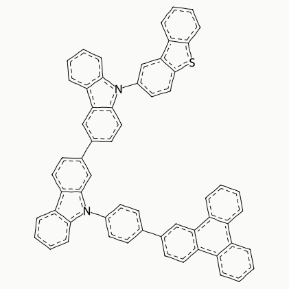 c1ccc2c(c1)sc1ccc(-n3c4ccccc4c4cc(-c5ccc6c7ccccc7n(-c7ccc(-c8ccc9c%10ccccc%10c%10ccccc%10c9c8)cc7)c6c5)ccc43)cc12